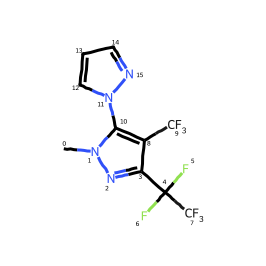 Cn1nc(C(F)(F)C(F)(F)F)c(C(F)(F)F)c1-n1cccn1